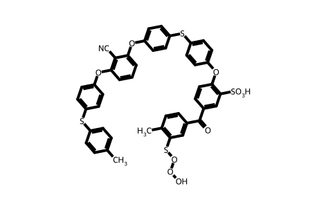 Cc1ccc(Sc2ccc(Oc3cccc(Oc4ccc(Sc5ccc(Oc6ccc(C(=O)c7ccc(C)c(SOOO)c7)cc6S(=O)(=O)O)cc5)cc4)c3C#N)cc2)cc1